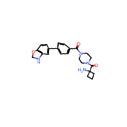 NC1(C(=O)N2CCN(C(=O)c3ccc(-c4ccc5c(c4)NCO5)cc3)CC2)CCC1